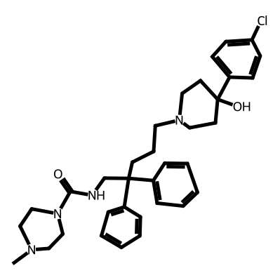 CN1CCN(C(=O)NCC(CCCN2CCC(O)(c3ccc(Cl)cc3)CC2)(c2ccccc2)c2ccccc2)CC1